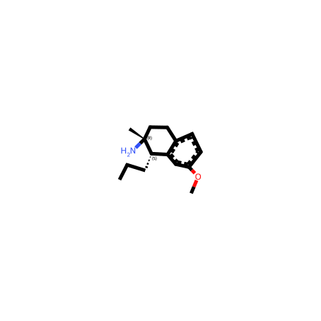 CCC[C@H]1c2cc(OC)ccc2CC[C@@]1(C)N